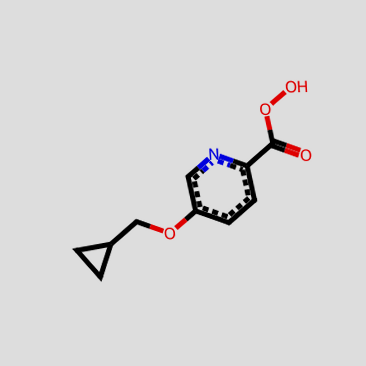 O=C(OO)c1ccc(OCC2CC2)cn1